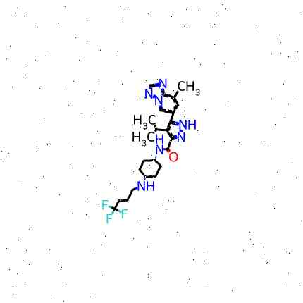 Cc1cc(-c2[nH]nc(C(=O)N[C@H]3CC[C@@H](NCCCC(F)(F)F)CC3)c2C(C)C)cn2ncnc12